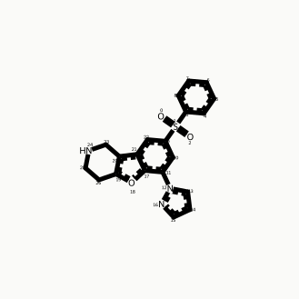 O=S(=O)(c1ccccc1)c1cc(-n2cccn2)c2oc3c(c2c1)CNCC3